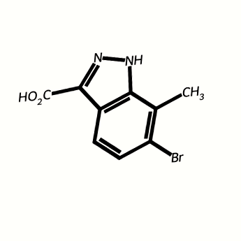 Cc1c(Br)ccc2c(C(=O)O)n[nH]c12